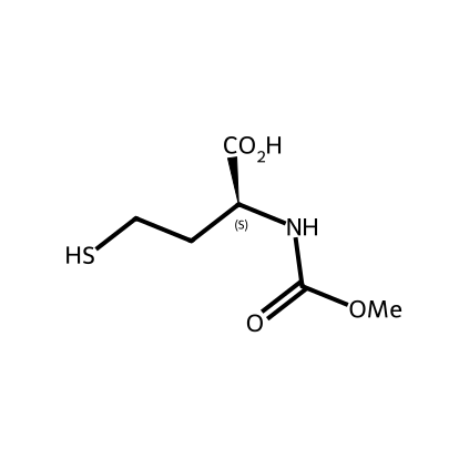 COC(=O)N[C@@H](CCS)C(=O)O